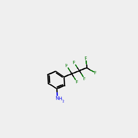 Nc1cccc(C(F)(F)C(F)(F)C(F)F)c1